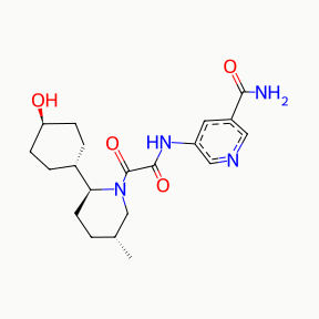 C[C@@H]1CC[C@@H]([C@H]2CC[C@H](O)CC2)N(C(=O)C(=O)Nc2cncc(C(N)=O)c2)C1